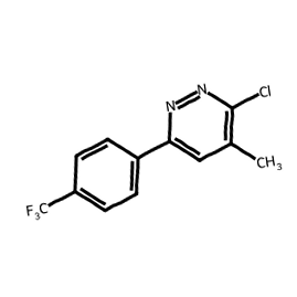 Cc1cc(-c2ccc(C(F)(F)F)cc2)nnc1Cl